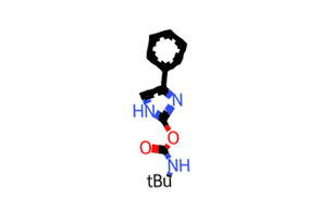 CC(C)(C)NC(=O)Oc1nc(-c2ccccc2)c[nH]1